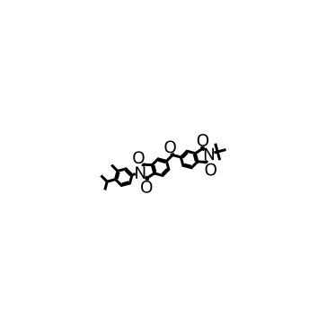 Cc1cc(N2C(=O)c3ccc(C(=O)c4ccc5c(c4)C(=O)N(C(C)(C)C)C5=O)cc3C2=O)ccc1C(C)C